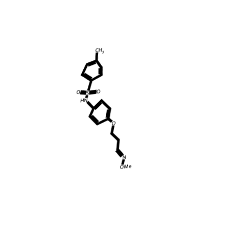 CON=CCCOc1ccc(NS(=O)(=O)c2ccc(C)cc2)cc1